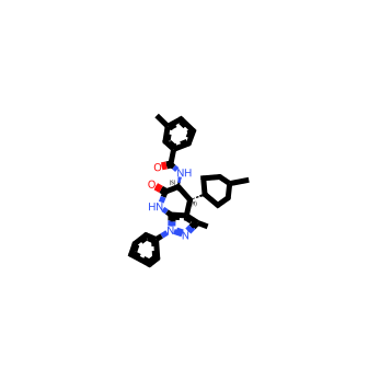 Cc1cccc(C(=O)N[C@@H]2C(=O)Nc3c(c(C)nn3-c3ccccc3)[C@H]2C2CCC(C)CC2)c1